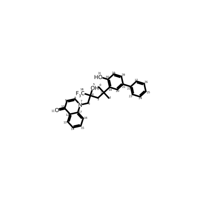 CC(C)(CC(O)(Cn1ccc(=O)c2ccccc21)C(F)(F)F)c1cc(-c2ccccc2)ccc1O